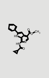 COC(=O)c1cnc(NC(=O)C2CC2)c2[nH]c(-c3ccccc3)cc12